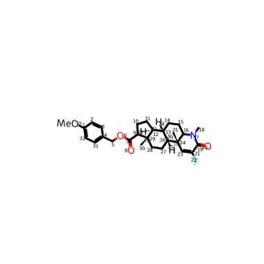 COc1ccc(COC(=O)C2CC[C@H]3[C@@H]4CCC5N(C)C(=O)C(F)=C[C@]5(C)[C@@H]4CC[C@]23C)cc1